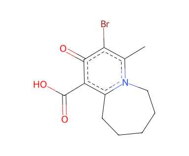 Cc1c(Br)c(=O)c(C(=O)O)c2n1CCCCC2